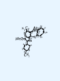 COc1c(-c2ccc(C)cc2)nc2c(Sc3ccccc3)c(N)c(C)nn12